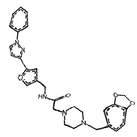 O=C(CN1CCN(Cc2ccc3c(c2)OCO3)CC1)NCc1coc(-c2ccn(-c3ccccc3)n2)c1